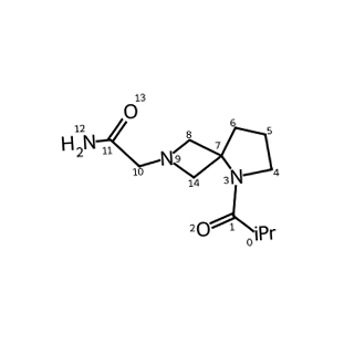 CC(C)C(=O)N1CCCC12CN(CC(N)=O)C2